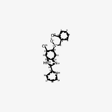 [O-][S+](Cc1ccccc1Cl)c1cc2nc(-c3ccccn3)[nH]c2cc1Cl